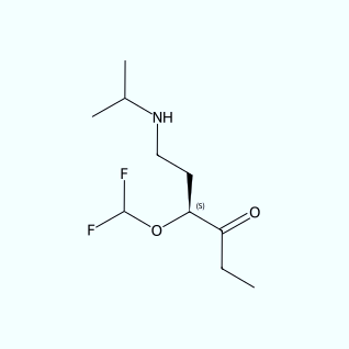 CCC(=O)[C@H](CCNC(C)C)OC(F)F